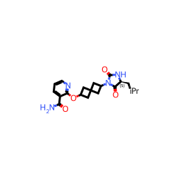 CC(C)C[C@@H]1NC(=O)N(C2CC3(CC(Oc4ncccc4C(N)=O)C3)C2)C1=O